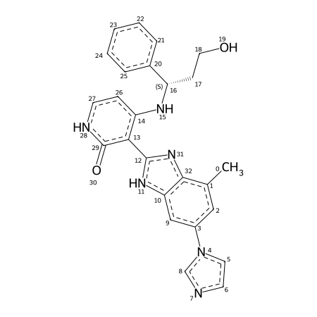 Cc1cc(-n2ccnc2)cc2[nH]c(-c3c(N[C@@H](CCO)c4ccccc4)cc[nH]c3=O)nc12